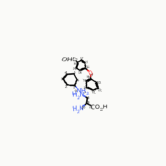 NC1CCCCC1.NCC(N)C(=O)O.O=Cc1ccc(Oc2ccccc2)cc1